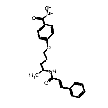 C[C@@H](CCCOc1ccc(C(=O)NO)cc1)NC(=O)/C=C/c1ccccc1